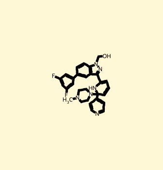 CN1CCN(C2(c3ccncc3)C=CC=C(c3nn(CO)c4ccc(-c5cc(F)cc(F)c5)cc34)N2)CC1